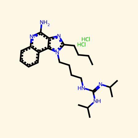 CCCCc1nc2c(N)nc3ccccc3c2n1CCCCNC(=NC(C)C)NC(C)C.Cl.Cl